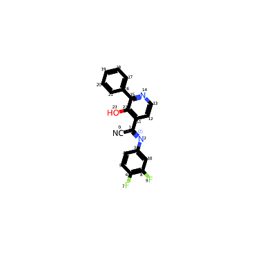 N#C/C(=N\c1ccc(F)c(F)c1)c1ccnc(-c2ccccc2)c1O